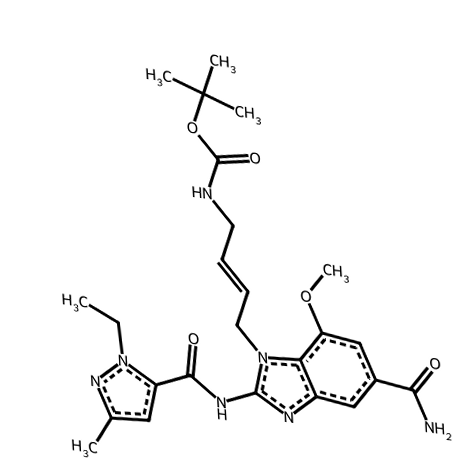 CCn1nc(C)cc1C(=O)Nc1nc2cc(C(N)=O)cc(OC)c2n1CC=CCNC(=O)OC(C)(C)C